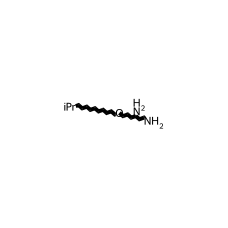 CC(C)CCCCCCCCCCOCCCC(N)CCN